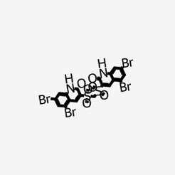 O=c1[nH]c2cc(Br)cc(Br)c2cc1S(=O)(=O)CS(=O)(=O)c1cc2c(Br)cc(Br)cc2[nH]c1=O